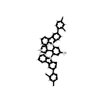 Cc1ccc(-c2ccc3c(c2)c2ccccc2n3-c2cc(C#N)cc(-n3c4ccccc4c4cc(-c5ccc(C)cc5C)ccc43)c2-c2ccncc2)c(C)c1